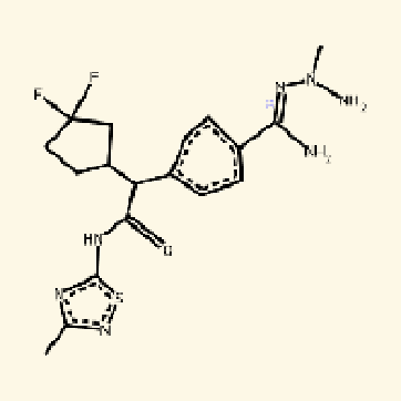 Cc1nsc(NC(=O)C(c2ccc(/C(N)=N/N(C)N)cc2)C2CCC(F)(F)C2)n1